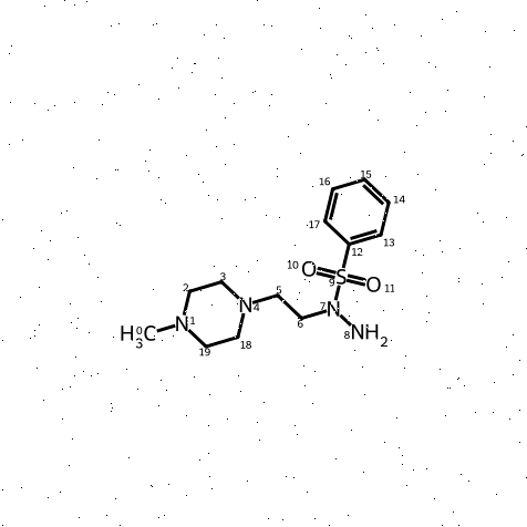 CN1CCN(CCN(N)S(=O)(=O)c2ccccc2)CC1